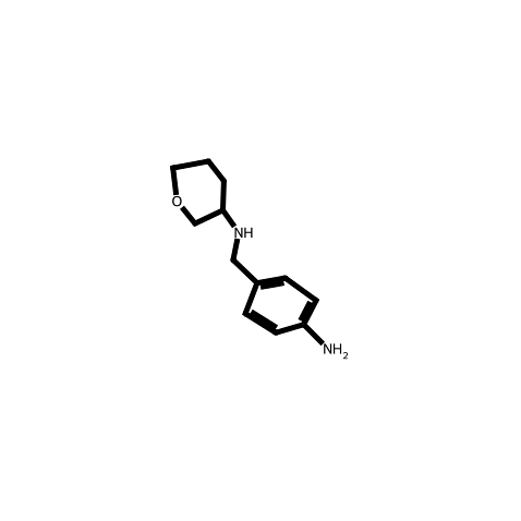 Nc1ccc(CNC2CCCOC2)cc1